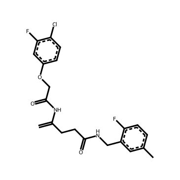 C=C(CCC(=O)NCc1cc(C)ccc1F)NC(=O)COc1ccc(Cl)c(F)c1